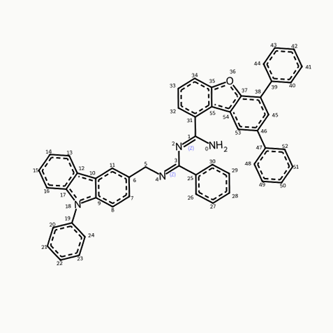 N/C(=N\C(=N/Cc1ccc2c(c1)c1ccccc1n2-c1ccccc1)c1ccccc1)c1cccc2oc3c(-c4ccccc4)cc(-c4ccccc4)cc3c12